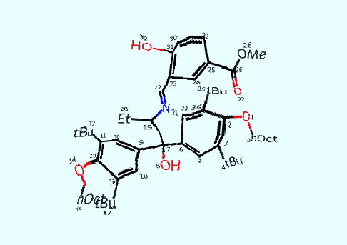 CCCCCCCCOc1c(C(C)(C)C)cc(C(O)(c2cc(C(C)(C)C)c(OCCCCCCCC)c(C(C)(C)C)c2)C(CC)N=Cc2cc(C(=O)OC)ccc2O)cc1C(C)(C)C